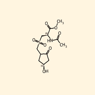 COC(=O)[C@H](CS(=O)(=O)CC1C[C@H](O)CC1=O)NC(C)=O